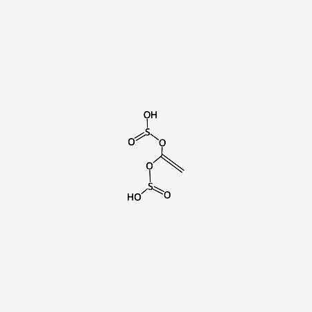 C=C(OS(=O)O)OS(=O)O